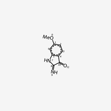 COc1ccc2c(c1)NC(=N)C2=O